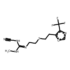 CN/C(=N/CCSCCc1ocnc1C(F)(F)F)NC#N